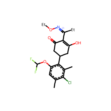 CCO/N=C(/CC)C1=C(O)CC(c2c(OC(F)F)cc(C)c(Cl)c2C)CC1=O